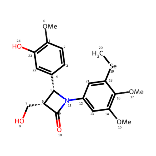 COc1ccc([C@H]2[C@@H](CO)C(=O)N2c2cc(OC)c(OC)c([Se]C)c2)cc1O